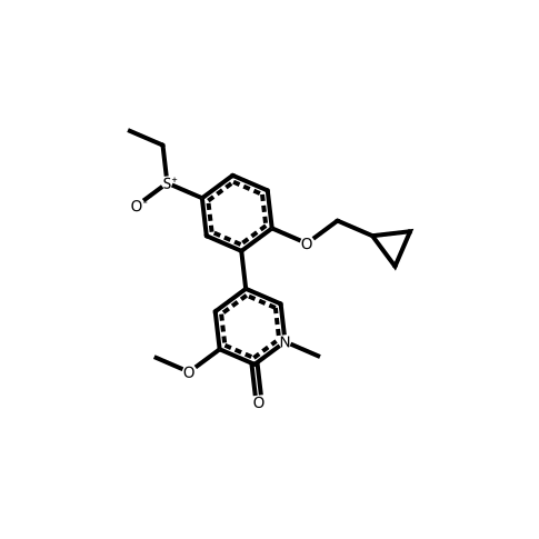 CC[S+]([O-])c1ccc(OCC2CC2)c(-c2cc(OC)c(=O)n(C)c2)c1